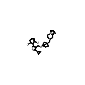 Clc1cccc(Cl)c1-c1noc(C2CC2)c1COC12CCC(CN3CCn4ccnc4C3)(CC1)CC2